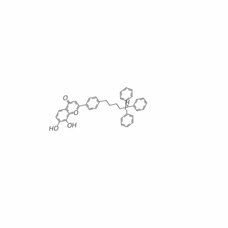 O=c1cc(-c2ccc(CCCC[PH](c3ccccc3)(c3ccccc3)c3ccccc3)cc2)oc2c(O)c(O)ccc12